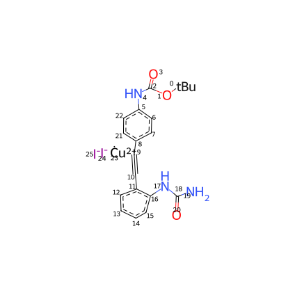 CC(C)(C)OC(=O)Nc1ccc(C#Cc2ccccc2NC(N)=O)cc1.[Cu+2].[I-].[I-]